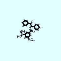 O=C(OC(C(=O)c1ccccc1)c1ccccc1)c1cc(B(O)O)cc([N+](=O)[O-])c1